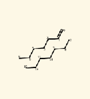 C=CCCCCC.CCCCCCC